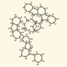 CN1/C(n2c3ccccc3c3ccc4c5ccccc5n(-c5ccccc5)c4c32)=C\CC[C@H](c2ccc3c(c2)oc2c(-c4ccccc4)cccc23)NC1c1cccc2sc3ccccc3c12